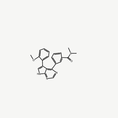 COc1ccccc1-c1c[nH]c2ncnc(-c3cccc(C(=O)N(C)C)c3)c12